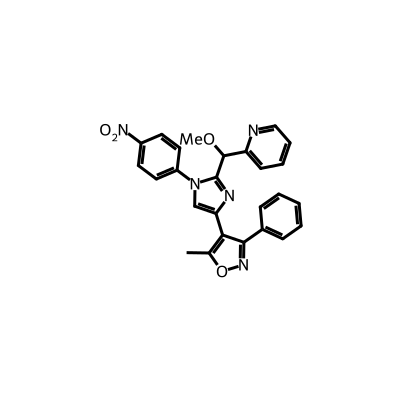 COC(c1ccccn1)c1nc(-c2c(-c3ccccc3)noc2C)cn1-c1ccc([N+](=O)[O-])cc1